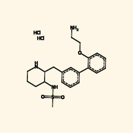 CS(=O)(=O)NC1CCCNC1Cc1cccc(-c2ccccc2OCCN)c1.Cl.Cl